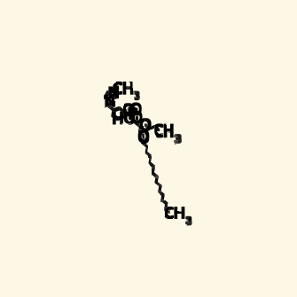 CCCCCCCCCCCCCCCCOCC(COP(=O)(O)Oc1cccc(CN2C=CN(C)C2)c1)OCCC